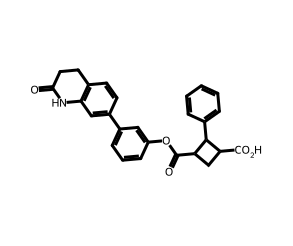 O=C1CCc2ccc(-c3cccc(OC(=O)C4CC(C(=O)O)C4c4ccccc4)c3)cc2N1